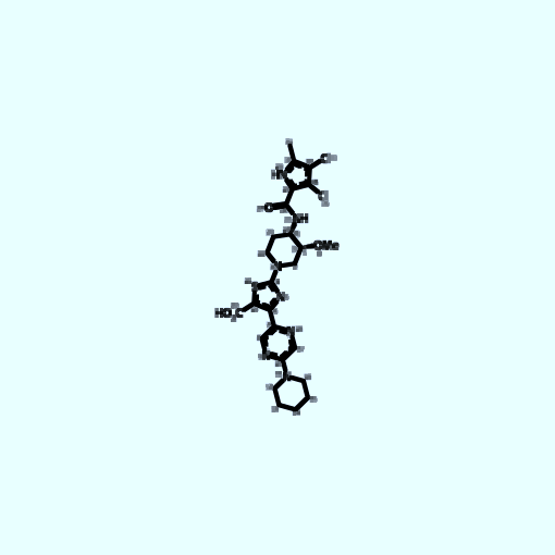 CO[C@H]1CN(c2nc(-c3cnc(N4CCCCC4)cn3)c(C(=O)O)s2)CC[C@H]1NC(=O)c1[nH]c(C)c(Cl)c1Cl